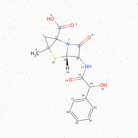 CC12CC1(C(=O)O)N1C(=O)C(NC(=O)C(O)c3ccccc3)[C@@H]1S2